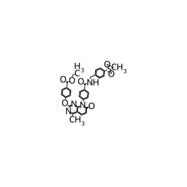 CCOC(=O)c1ccc(Oc2nc(C)c3ccc(=O)n(-c4ccc(C(=O)NCc5ccc(S(C)(=O)=O)cc5)cc4)c3n2)cc1